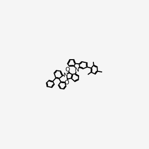 Cc1cc(C)c(-c2ccc3c4ccccc4n(-c4cccc5c4C(=O)N(c4cccc(-c6ccccc6)c4-c4ccccc4)C5=O)c3c2)c(C)c1